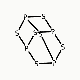 S1P2SP3SP1SP(S2)S3